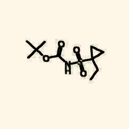 CCC1(S(=O)(=O)NC(=O)OC(C)(C)C)CC1